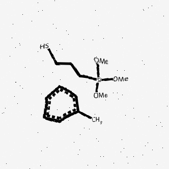 CO[Si](CCCS)(OC)OC.Cc1ccccc1